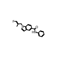 C/C(=C\F)Cn1ccc2cc(C(=O)Nc3ccccc3)ccc21